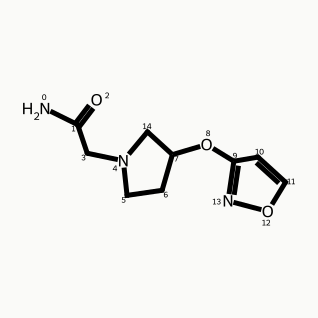 NC(=O)CN1CCC(Oc2ccon2)C1